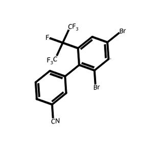 N#Cc1cccc(-c2c(Br)[c]c(Br)cc2C(F)(C(F)(F)F)C(F)(F)F)c1